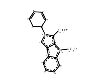 CCOC(=O)c1c2c(cn1C1C=CC=CC1)c1ccccc1n2C(=O)OCC